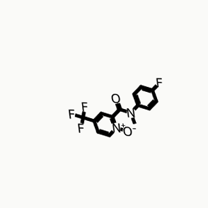 CN(C(=O)c1cc(C(F)(F)F)cc[n+]1[O-])c1ccc(F)cc1